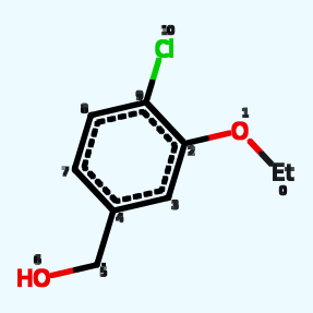 CCOc1cc([CH]O)ccc1Cl